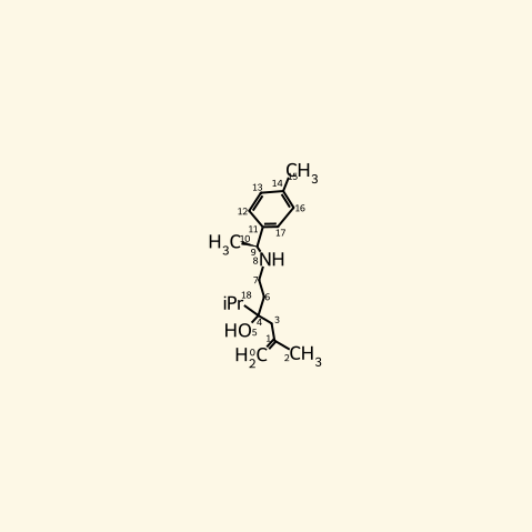 C=C(C)CC(O)(CCN[C@@H](C)c1ccc(C)cc1)C(C)C